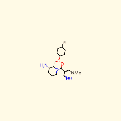 CN/C=C(\C=N)C(=O)N1CCC[C@H](N)[C@@H]1COC1CCC(C(C)C)CC1